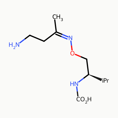 C/C(CCN)=N/OC[C@H](NC(=O)O)C(C)C